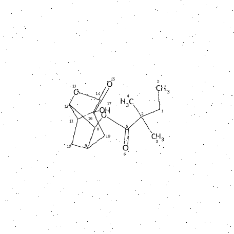 CCC(C)(C)C(=O)OC1C2CC3C1OC(=O)C3(O)C2